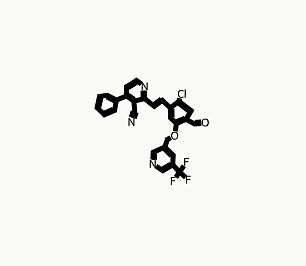 N#Cc1c(-c2ccccc2)ccnc1C=Cc1cc(OCc2cncc(C(F)(F)F)c2)c(C=O)cc1Cl